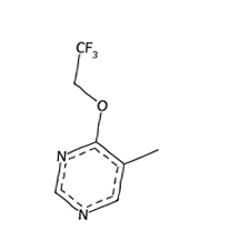 Cc1cncnc1OCC(F)(F)F